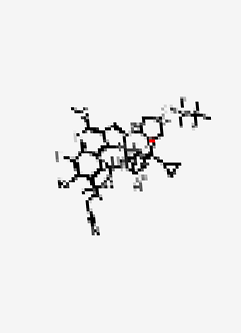 CSc1nc2c(F)c(Br)c(CCC#N)cc2c2c1cc([C@H]1C[C@@H](O[Si](C)(C)C(C)(C)C)CN1C(=O)C1CC1)n2[C@H]1[C@@H]2C[C@H]1N(C(=O)OC(C)(C)C)C2